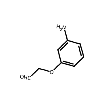 Nc1cccc(OCC=O)c1